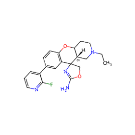 CCN1CCC2Oc3ccc(-c4cccnc4F)cc3C3(COC(N)=N3)[C@H]2C1